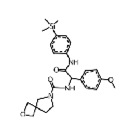 COc1ccc(C(NC(=O)N2CCC3(COC3)C2)C(=O)Nc2ccc([Si](C)(C)C)cc2)cc1